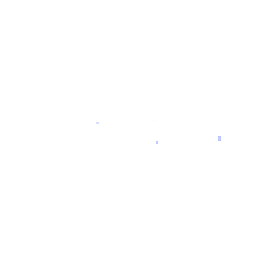 CNC(C)C(=O)NC(C(=O)N1CCCC1c1cncc(-c2cccc3ccccc23)c1)C1CCCCC1